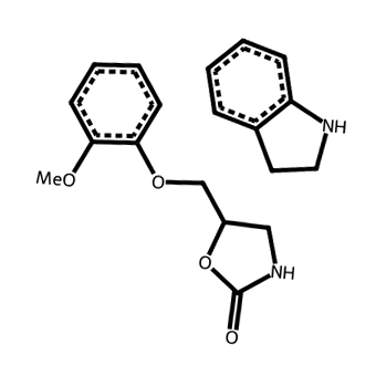 COc1ccccc1OCC1CNC(=O)O1.c1ccc2c(c1)CCN2